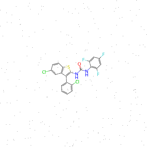 O=C(Nc1sc2ccc(Cl)cc2c1-c1ccccc1Cl)Nc1c(F)cc(F)cc1F